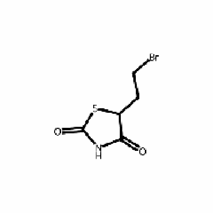 O=C1NC(=O)C(CCBr)S1